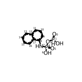 O=[PH](O)OP(=O)(O)Nc1cccc2ccccc12